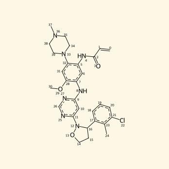 C=CC(=O)Nc1cc(Nc2cc(N3OCCC3c3cccc(Cl)c3C)ncn2)c(OC)cc1N1CCN(C)CC1